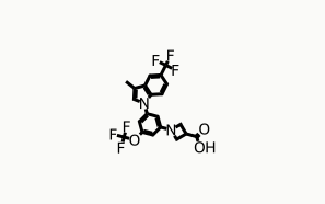 Cc1cn(-c2cc(OC(F)(F)F)cc(N3CC(C(=O)O)C3)c2)c2ccc(C(F)(F)F)cc12